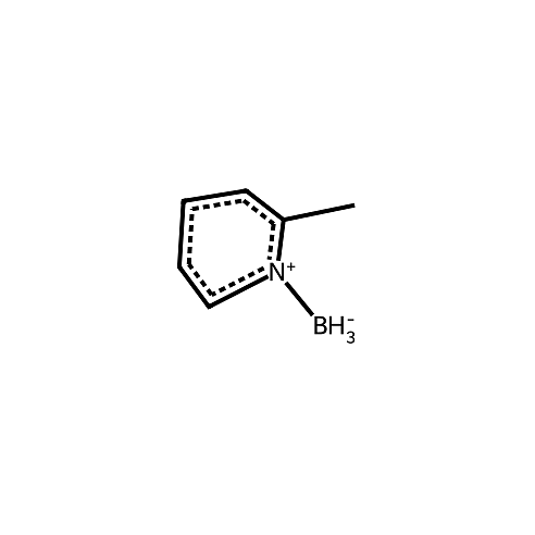 [BH3-][n+]1ccccc1C